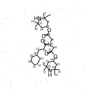 CC1(C)CC(OC(=O)CN(CC(=O)OC2CC(C)(C)NC(C)(C)C2)C(=O)CCC2CCCCC2)CC(C)(C)N1